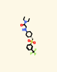 CCN(CC)C(=O)CN[C@H]1CC[C@H](CS(=O)(=O)c2cccc(C(F)(F)F)c2)CC1